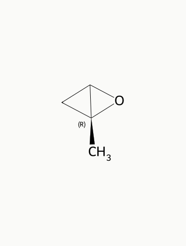 C[C@@]12CC1O2